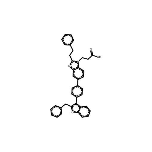 O=C(O)CCn1c(CCc2ccccc2)nc2cc(-c3ccc(-c4c(Cc5ccccc5)oc5ccccc45)cc3)ccc21